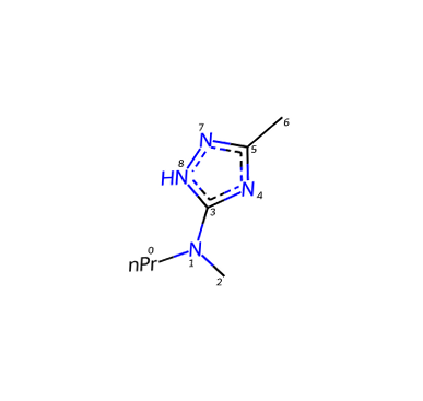 CCCN(C)c1nc(C)n[nH]1